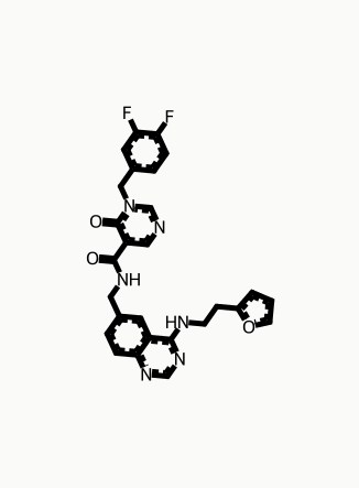 O=C(NCc1ccc2ncnc(NCCc3ccco3)c2c1)c1cncn(Cc2ccc(F)c(F)c2)c1=O